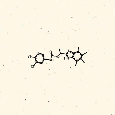 Cc1c(C)c(C)c2[nH]c(C(C)OC(=O)Nc3ccc(Cl)c(Cl)c3)nc2c1C